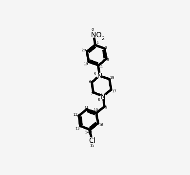 O=[N+]([O-])c1ccc(N2CCN(Cc3cccc(Cl)c3)CC2)cc1